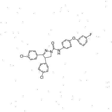 O=C(Nc1ccc(Oc2cccc(F)c2)cc1)N1CC(c2ccc(Cl)cc2)C(c2ccc(Cl)cc2)=N1